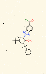 CCCCCC(C)(C)c1cc(-n2nc3ccc(C(=O)Cl)cc3n2)c(O)c(C(C)(C)c2ccccc2)c1